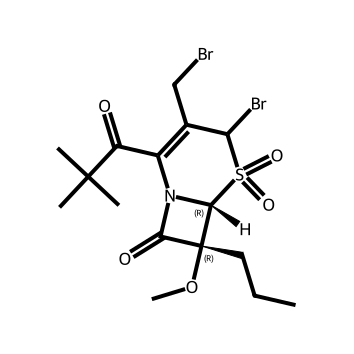 CCC[C@@]1(OC)C(=O)N2C(C(=O)C(C)(C)C)=C(CBr)C(Br)S(=O)(=O)[C@@H]21